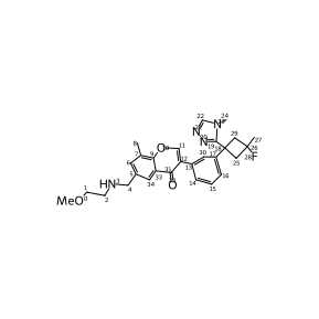 COCCNCc1cc(C)c2occ(-c3cccc(C4(c5nncn5C)CC(C)(F)C4)c3)c(=O)c2c1